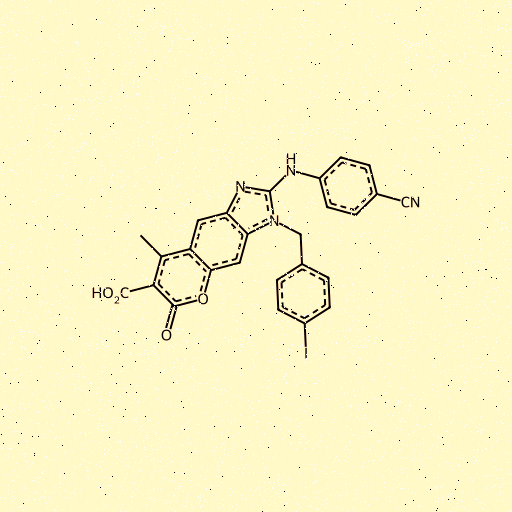 Cc1c(C(=O)O)c(=O)oc2cc3c(cc12)nc(Nc1ccc(C#N)cc1)n3Cc1ccc(I)cc1